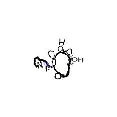 C[C@H]1CCC[C@@]2(C)OC2CC(/C(F)=C/c2ccccn2)OC(=O)CC(O)C(C)(C)C(=O)[C@H](C)[C@H]1O